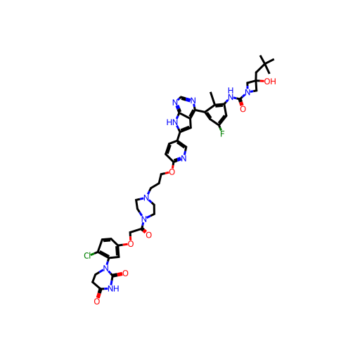 Cc1c(NC(=O)N2CC(O)(CC(C)(C)C)C2)cc(F)cc1-c1ncnc2[nH]c(-c3ccc(OCCCN4CCN(C(=O)COc5ccc(Cl)c(N6CCC(=O)NC6=O)c5)CC4)nc3)cc12